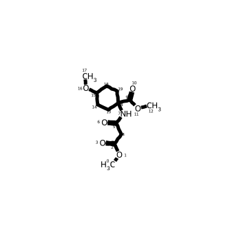 COC(=O)CC(=O)NC1(C(=O)OC)CCC(OC)CC1